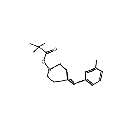 Cc1cccc(C=C2CCN(OC(=O)C(C)(C)C)CC2)c1